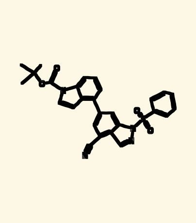 CC(C)(C)OC(=O)n1ccc2c(-c3cc(C#N)c4cnn(S(=O)(=O)c5ccccc5)c4c3)cccc21